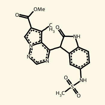 COC(=O)c1cn2ncnc(C3C(=O)Nc4ccc(NS(C)(=O)=O)cc43)c2c1C